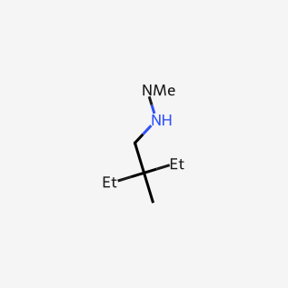 CCC(C)(CC)CNNC